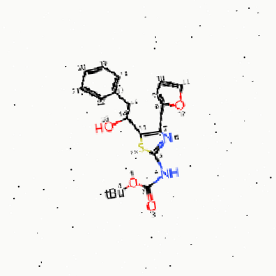 CC(C)(C)OC(=O)Nc1nc(-c2ccco2)c(C(O)Cc2ccccc2)s1